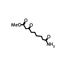 COC(=O)CC(=O)CCCCCC(N)=O